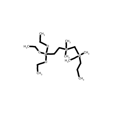 CCC[Si](C)(C)C[Si](C)(C)CC[Si](OCC)(OCC)OCC